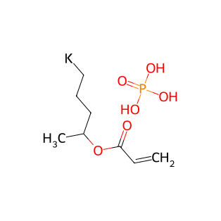 C=CC(=O)OC(C)CC[CH2][K].O=P(O)(O)O